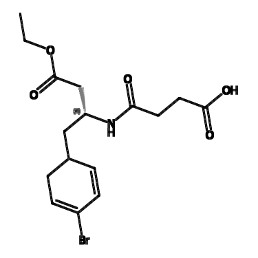 CCOC(=O)C[C@@H](CC1C=CC(Br)=CC1)NC(=O)CCC(=O)O